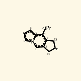 CC(C)c1c2c(cn3cccc13)CCC2